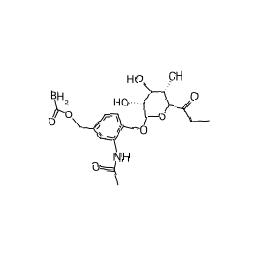 BC(=O)OCc1ccc(OC2OC(C(=O)CC)[C@@H](O)C(O)[C@H]2O)c(NC(C)=O)c1